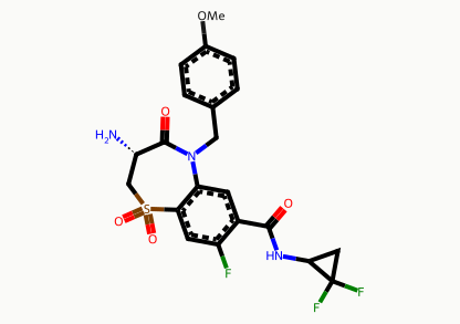 COc1ccc(CN2C(=O)[C@@H](N)CS(=O)(=O)c3cc(F)c(C(=O)NC4CC4(F)F)cc32)cc1